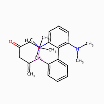 C=C1CC(=O)CC(C)(C)P1c1ccccc1-c1c(N(C)C)cccc1N(C)C